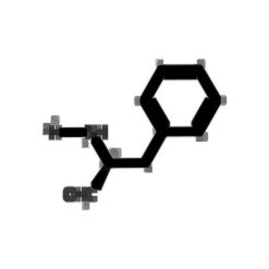 [2H]N[C@H](C=O)Cc1ccccc1